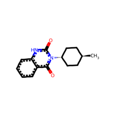 C[C@H]1CC[C@H](n2c(=O)[nH]c3ccccc3c2=O)CC1